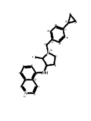 IC1C(Nc2cccc3cnccc23)CCN1Cc1ccc(C2CC2)cc1